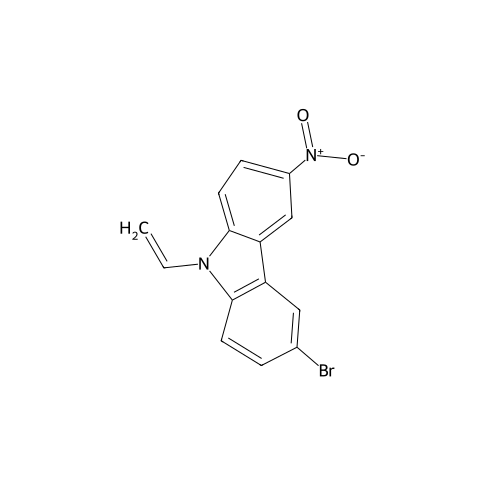 C=Cn1c2ccc(Br)cc2c2cc([N+](=O)[O-])ccc21